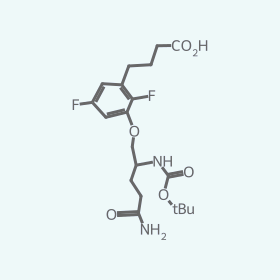 CC(C)(C)OC(=O)NC(CCC(N)=O)COc1cc(F)cc(CCCC(=O)O)c1F